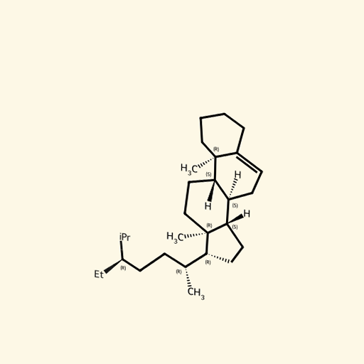 CC[C@H](CC[C@@H](C)[C@H]1CC[C@H]2[C@@H]3CC=C4CCCC[C@]4(C)[C@H]3CC[C@]12C)C(C)C